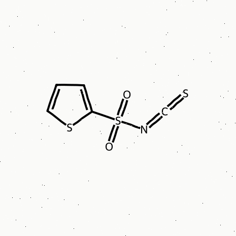 O=S(=O)(N=C=S)c1cccs1